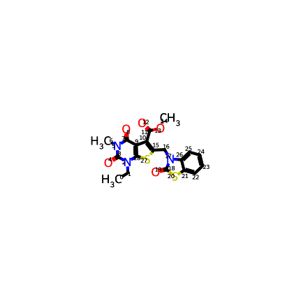 CCn1c(=O)n(C)c(=O)c2c(C(=O)OC)c(Cn3c(=O)sc4ccccc43)sc21